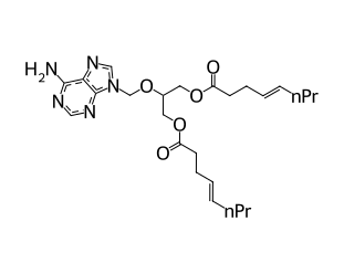 CCCC=CCCC(=O)OCC(COC(=O)CCC=CCCC)OCn1cnc2c(N)ncnc21